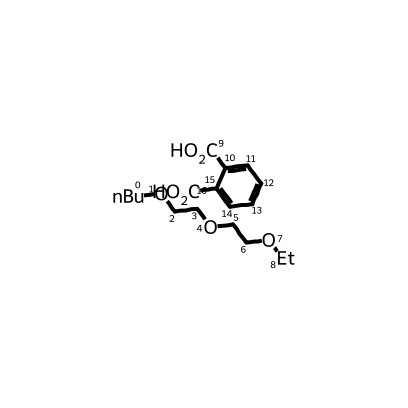 CCCCOCCOCCOCC.O=C(O)c1ccccc1C(=O)O